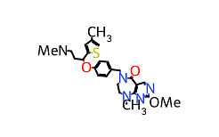 CNCCC(Oc1ccc(CN2CCN(C)c3nc(OC)ncc3C2=O)cc1)c1cc(C)cs1